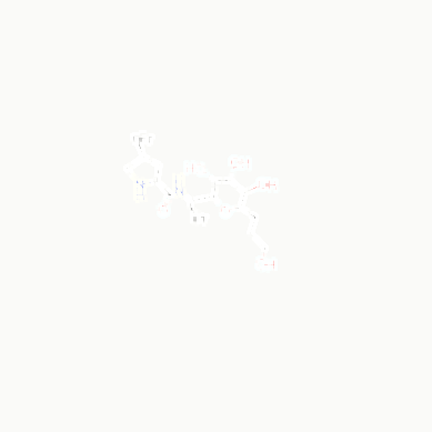 CCC[C@@H]1CN[C@H](C(=O)N[C@H](C(C)C)[C@H]2O[C@H](CCCO)[C@H](O)[C@@H](O)[C@H]2O)C1